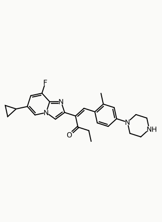 CCC(=O)/C(=C\c1ccc(N2CCNCC2)cc1C)c1cn2cc(C3CC3)cc(F)c2n1